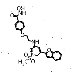 CS(=O)(=O)NCC(=CC(=O)NCCOc1ccc(C(=O)NO)cc1)c1cc2ccccc2o1